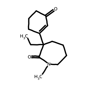 CCC1(C2=CC(=O)CCC2)CCCCN(C)C1=O